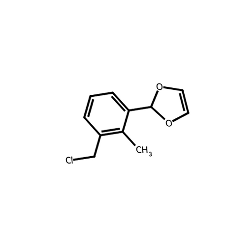 Cc1c(CCl)cccc1C1OC=CO1